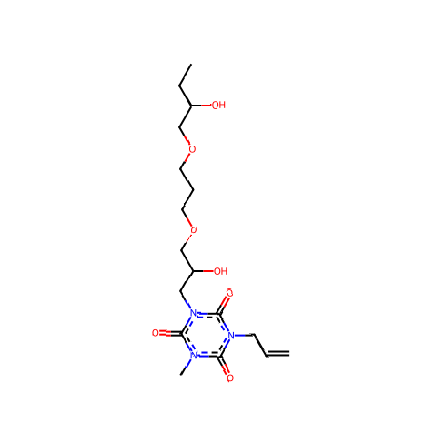 C=CCn1c(=O)n(C)c(=O)n(CC(O)COCCCOCC(O)CC)c1=O